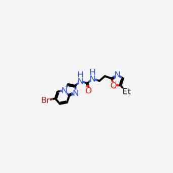 CCc1cnc(CCNC(=O)Nc2cn3cc(Br)ccc3n2)o1